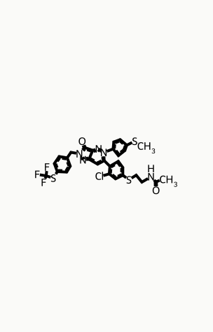 CSc1ccc(-n2nc3c(=O)n(Cc4ccc(SC(F)(F)F)cc4)nc-3cc2-c2ccc(SCCNC(C)=O)cc2Cl)cc1